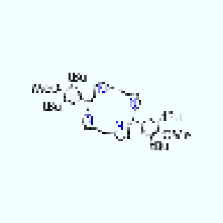 COc1c(C(C)(C)C)cc(C2=C3C=CC(=N3)C=C3C=CC(=N3)C(c3cc(C(C)(C)C)c(OC)c(C(C)(C)C)c3)=C3C=CC(=N3)C=C3C=CC2=N3)cc1C(C)(C)C